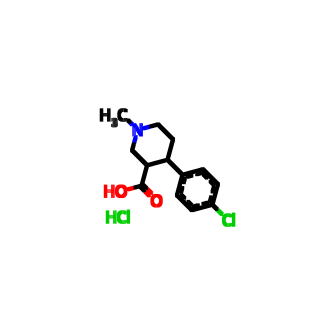 CN1CCC(c2ccc(Cl)cc2)C(C(=O)O)C1.Cl